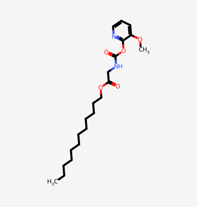 CCCCCCCCCCCCOC(=O)CNC(=O)Oc1ncccc1OC